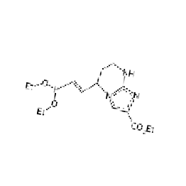 CCOC(=O)c1cn2c(n1)NCCC2C=CP(OCC)OCC